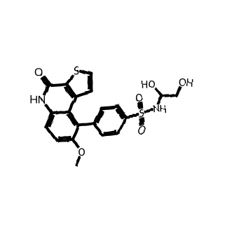 COc1ccc2[nH]c(=O)c3sccc3c2c1-c1ccc(S(=O)(=O)NC(O)CO)cc1